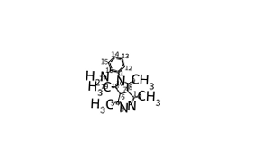 CC1=NN=C(C)C2C1=C(C)N(c1ccccc1N)C2C